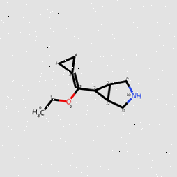 CCOC(=C1CC1)C1C2CNCC21